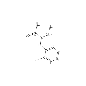 CC(C)NC(Cc1ccccc1F)C(=O)C(C)C